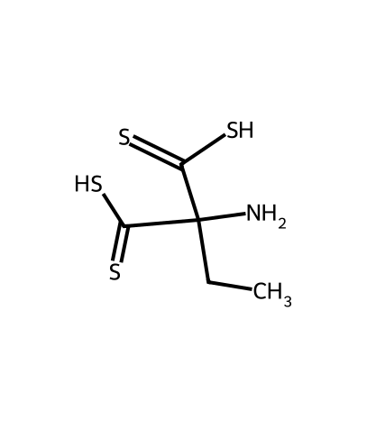 CCC(N)(C(=S)S)C(=S)S